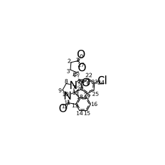 O=C1CC[C@@H](C(=O)N2CCN3C(=O)c4ccccc4C32c2ccc(Cl)cc2)O1